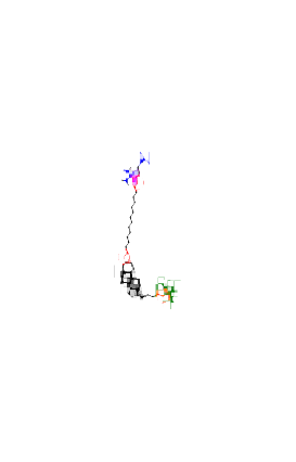 CC(C)N(C(C)C)P(CCC#N)OCCCCCCCCCCCCCCO[C@@H]1CC[C@@]2(C)[C@H](CC[C@@H]3[C@@H]2CC[C@]2(C)[C@@H]([C@H](C)CCCOC(C(F)(F)F)(C(F)(F)F)C(F)(F)F)CC[C@@H]32)C1